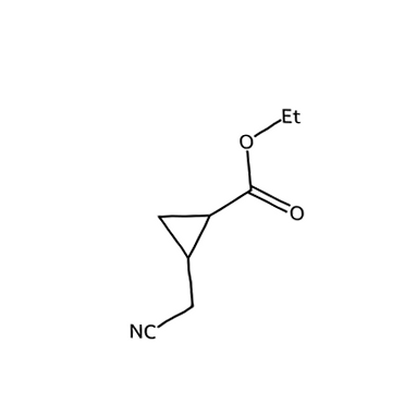 CCOC(=O)C1CC1CC#N